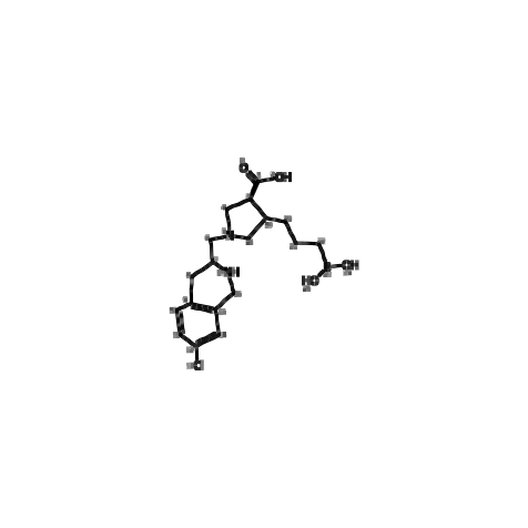 O=C(O)[C@@H]1CN(CC2Cc3ccc(Cl)cc3CN2)CC1CCCB(O)O